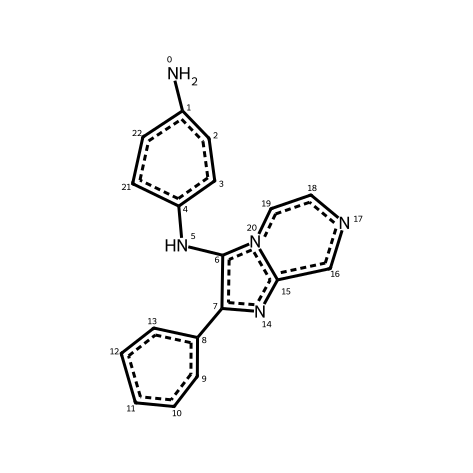 Nc1ccc(Nc2c(-c3ccccc3)nc3cnccn23)cc1